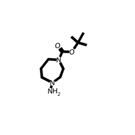 CC(C)(C)OC(=O)N1CCCN(N)CC1